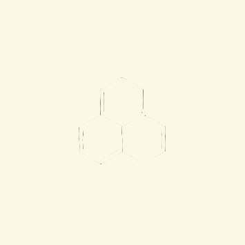 C1=CC2=CC=CN3C=CSC(=C1)C23